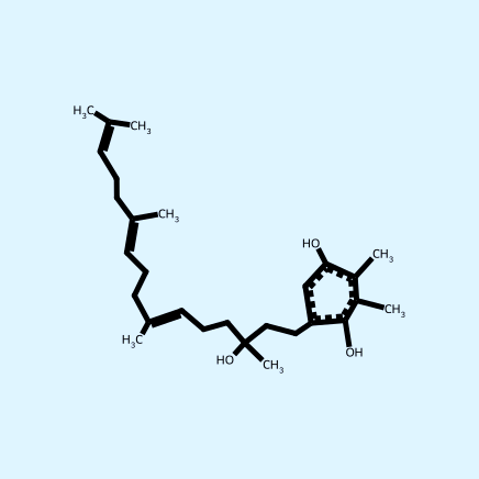 CC(C)=CCC/C(C)=C/CC/C(C)=C/CCC(C)(O)CCc1cc(O)c(C)c(C)c1O